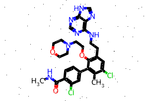 CNC(=O)c1ccc(-c2c(C)c(Cl)cc(CCNc3ncnc4[nH]cnc34)c2OCCN2CCOCC2)cc1Cl